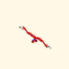 C=CC(=O)OCCCCCCOc1ccc(OC(=O)[C@H]2CC[C@H](OC(=O)c3ccc(OC(=O)[C@H]4CC[C@H](OC(=O)c5ccc(OCCCCCCOC(=O)C=C)cc5)CC4)cc3/C=N/N(c3ccccc3)c3nc4ccccc4s3)CC2)cc1